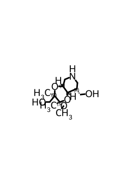 CO[C@@]1(C)O[C@@H]2[C@@H](CO)CNC[C@H]2O[C@]1(C)CO